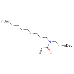 C=CC(=O)N(CCCCCCCCCCCC)CCCCCCCCCCCCCCCCCC